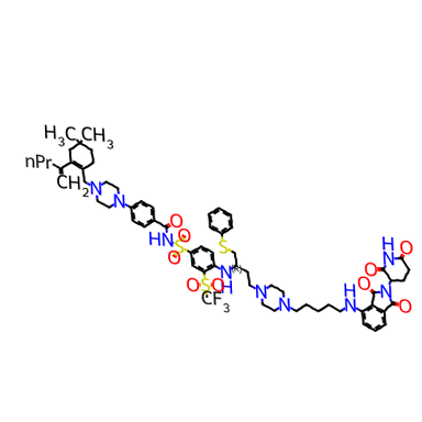 C=C(CCC)C1=C(CN2CCN(c3ccc(C(=O)NS(=O)(=O)c4ccc(N[C@H](CCN5CCN(CCCCCNc6cccc7c6C(=O)N(C6CCC(=O)NC6=O)C7=O)CC5)CSc5ccccc5)c(S(=O)(=O)C(F)(F)F)c4)cc3)CC2)CCC(C)(C)C1